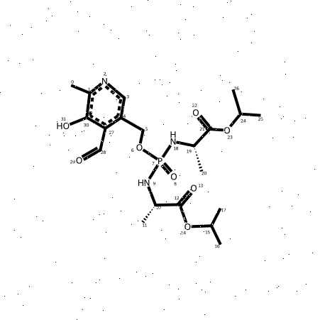 Cc1ncc(COP(=O)(N[C@@H](C)C(=O)OC(C)C)N[C@@H](C)C(=O)OC(C)C)c(C=O)c1O